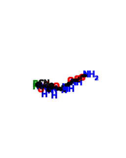 CN1NN(CCCCC(=O)NCCOCCOCCN)C=C1CCCC(=O)Nc1cccc2c(C(=O)NCC(=O)N3CC(F)(F)CC3C#N)ccnc12